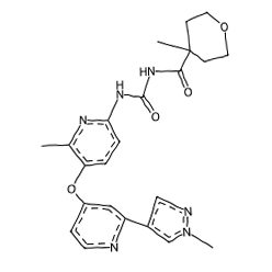 Cc1nc(NC(=O)NC(=O)C2(C)CCOCC2)ccc1Oc1ccnc(-c2cnn(C)c2)c1